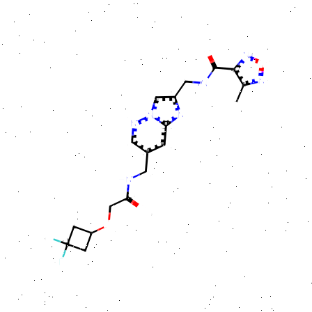 Cc1nonc1C(=O)NCc1cn2ncc(CNC(=O)COC3CC(F)(F)C3)cc2n1